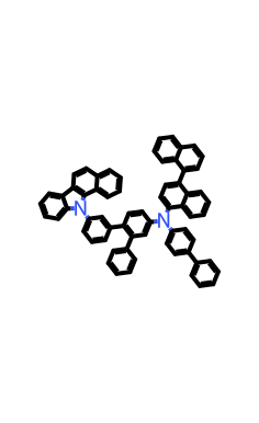 c1ccc(-c2ccc(N(c3ccc(-c4cccc(-n5c6ccccc6c6ccc7ccccc7c65)c4)c(-c4ccccc4)c3)c3ccc(-c4cccc5ccccc45)c4ccccc34)cc2)cc1